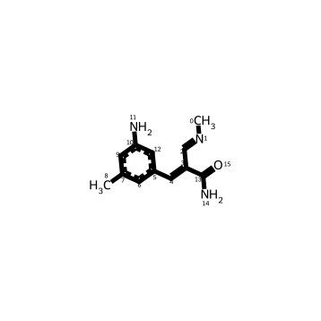 C/N=C/C(=C\c1cc(C)cc(N)c1)C(N)=O